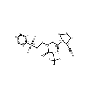 CC(C)(C)OC(=O)N(CCS(=O)(=O)c1ccccc1)CC(=O)N1CCCC1C#N